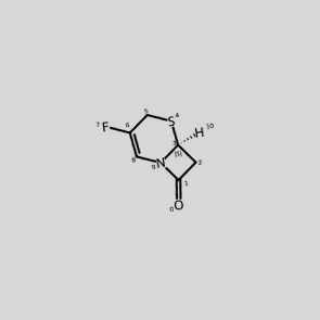 O=C1C[C@@H]2SCC(F)=CN12